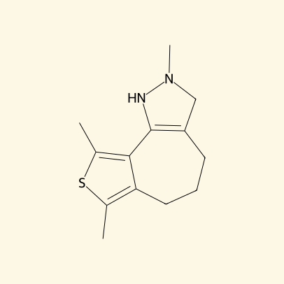 Cc1sc(C)c2c1CCCC1=C2NN(C)C1